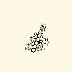 CN(C)[C@@H]1C(=O)C(C(=O)NCNCC(=O)O)=C(O)[C@@]2(O)C(=O)C3=C(O)c4c(O)cccc4[C@@](C)(O)C3C[C@@H]12